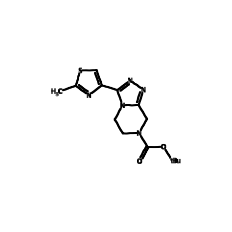 Cc1nc(-c2nnc3n2CCN(C(=O)OC(C)(C)C)C3)cs1